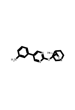 Nc1cccc(-c2cnc(O[C@@H]3CN4CCC3CC4)nc2)c1